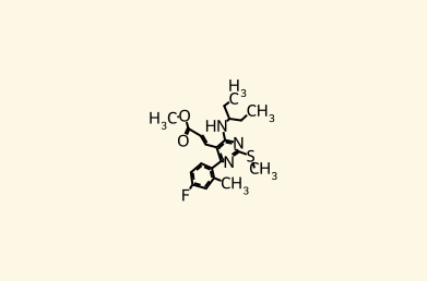 CCC(CC)Nc1nc(SC)nc(-c2ccc(F)cc2C)c1C=CC(=O)OC